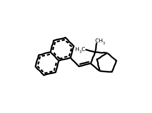 CC1(C)C(=Cc2cccc3ccccc23)C2CCC1C2